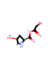 O=C(CBr)OC(=O)[C@@H]1C[C@H](O)CN1